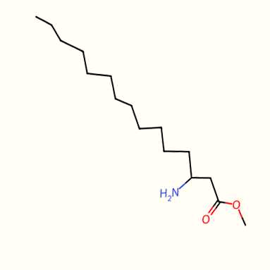 CCCCCCCCCCCCC(N)CC(=O)OC